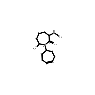 CNC1CCCC(C)N(C2CCC=CCC2)C1=O